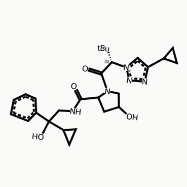 CC(C)(C)[C@@H](C(=O)N1CC(O)CC1C(=O)NCC(O)(c1ccccc1)C1CC1)n1cc(C2CC2)nn1